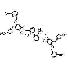 Cc1c(COc2cc(OCc3cncc(C#N)c3)c(CN3CCC(O)C3)cc2Cl)cccc1-c1cccc(COc2cc(OCc3cncc(C#N)c3)c(CN3CCC(O)C3)cc2Cl)c1C